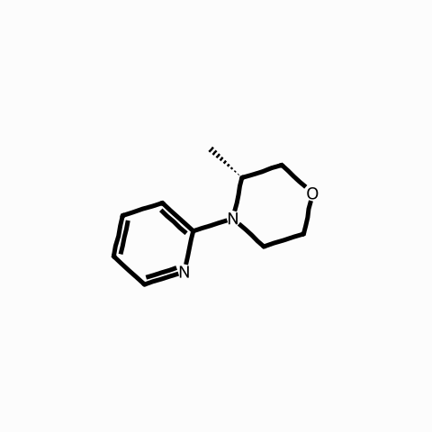 C[C@@H]1COCCN1c1ccccn1